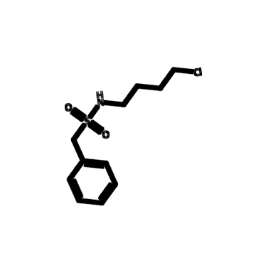 O=S(=O)(Cc1ccccc1)NCCCCCl